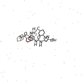 Cc1ccc(-n2nc(C(C)(C)C)cc2NC(=O)Nc2ccc(CC3CC4CCC(C3)N4C(=O)c3cccnc3N)cc2)cc1